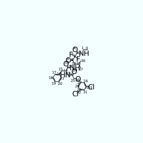 CCNC(=O)C(F)(F)C(=O)[C@@H](NC(=O)[C@H](Cc1ccccc1)NC(=O)COc1cc(Cl)cc(Cl)c1)C(C)C